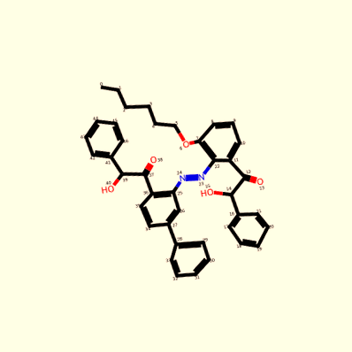 CCCCCCOc1cccc(C(=O)C(O)c2ccccc2)c1N=Nc1cc(-c2ccccc2)ccc1C(=O)C(O)c1ccccc1